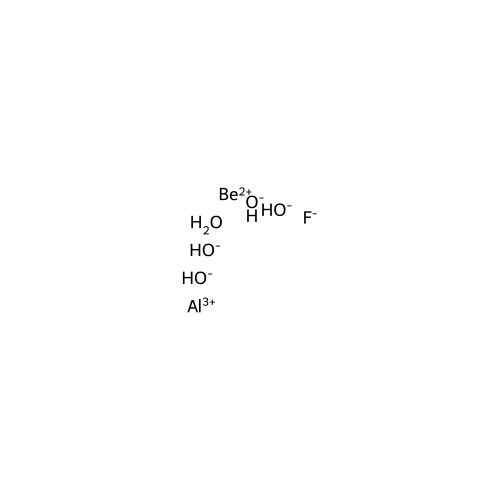 O.[Al+3].[Be+2].[F-].[OH-].[OH-].[OH-].[OH-]